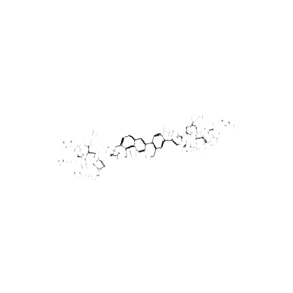 CC[C@@H](OC)[C@H](NC(=O)OC)C(=O)N1C[C@@H](C)C[C@H]1c1ncc(-c2ccc3c(c2)COc2cc4c(ccc5nc([C@@H]6C[C@H](COC)CN6C(=O)[C@@H](NC(=O)OC)[C@@H](C)OC)[nH]c54)cc2-3)[nH]1